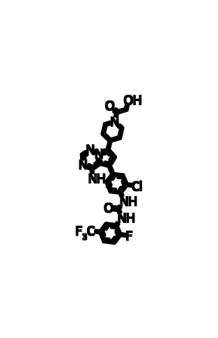 Nc1ncnn2c(C3CCN(C(=O)CO)CC3)cc(-c3ccc(NC(=O)Nc4cc(C(F)(F)F)ccc4F)c(Cl)c3)c12